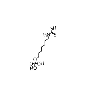 O=P(O)(O)OCCCCCCCNC(=S)S